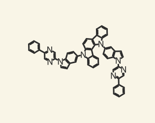 c1ccc(-c2cnc(-n3ccc4cc(-n5c6ccccc6c6c5ccc5c7ccccc7n(-c7ccc8c(ccn8-c8cnc(-c9ccccc9)cn8)c7)c56)ccc43)cn2)cc1